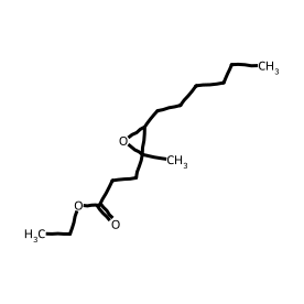 CCCCCCC1OC1(C)CCC(=O)OCC